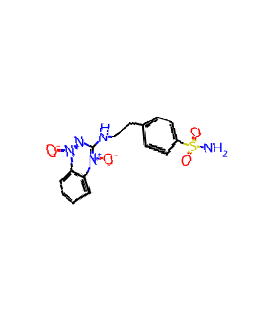 NS(=O)(=O)c1ccc(CCNc2n[n+]([O-])c3ccccc3[n+]2[O-])cc1